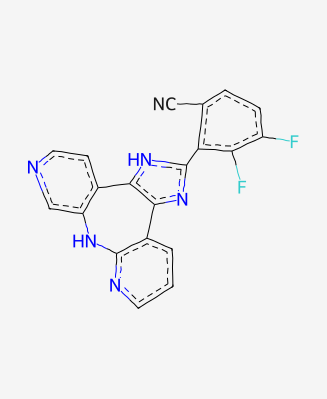 N#Cc1ccc(F)c(F)c1-c1nc2c([nH]1)-c1ccncc1Nc1ncccc1-2